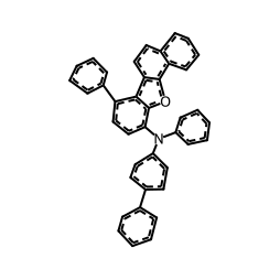 c1ccc(-c2ccc(N(c3ccccc3)c3ccc(-c4ccccc4)c4c3oc3c5ccccc5ccc34)cc2)cc1